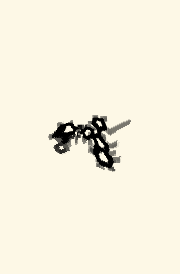 O=C(O)C1(Nc2cccc(Cl)c2)CCC2(CC1)C(C1=CCCC1)=Cc1ccccc12